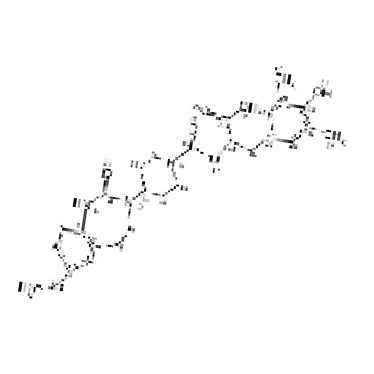 COc1ccc2c(c1)CCN(C1CCN(C(=O)OC(Cc3cc(C)c(O)c(C)c3)C(=O)O)CC1)C(=O)N2